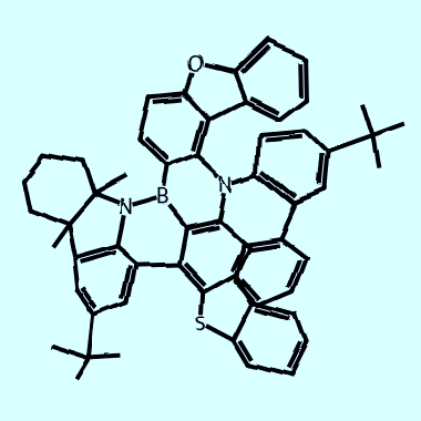 CC(C)(C)c1ccc(N2c3cc4c(sc5ccccc54)c4c3B(c3ccc5oc6ccccc6c5c32)N2c3c-4cc(C(C)(C)C)cc3C3(C)CCCCC23C)c(-c2ccccc2)c1